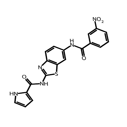 O=C(Nc1ccc2nc(NC(=O)c3ccc[nH]3)sc2c1)c1cccc([N+](=O)[O-])c1